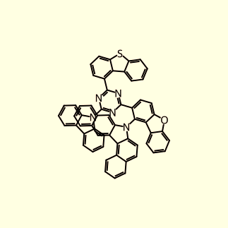 c1ccc2cc3c(cc2c1)c1c2ccccc2ccc1n3-c1c(-c2nc(-c3cccc4sc5ccccc5c34)nc(-n3c4ccccc4c4ccccc43)n2)ccc2oc3ccccc3c12